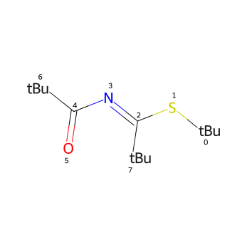 CC(C)(C)S/C(=N/C(=O)C(C)(C)C)C(C)(C)C